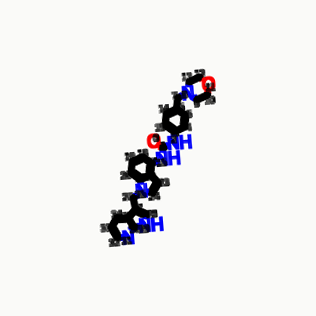 O=C(Nc1ccc(CN2CCOCC2)cc1)Nc1cccc2c1ccn2Cc1c[nH]c2ncccc12